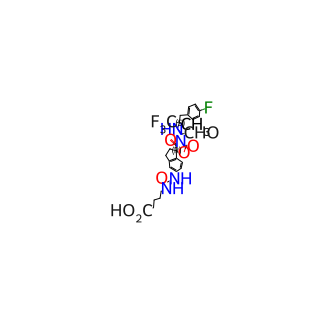 C[C@@](Cc1ccc(F)cc1)(NC(C=O)N1C(=O)O[C@@]2(CCc3cc(NC(=O)NCCCCC(=O)O)ccc32)C1=O)C(F)(F)F